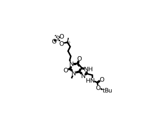 C[C@@H](CCCCn1c(=O)c2[nH]c(CNC(=O)OC(C)(C)C)nc2n(C)c1=O)OS(C)(=O)=O